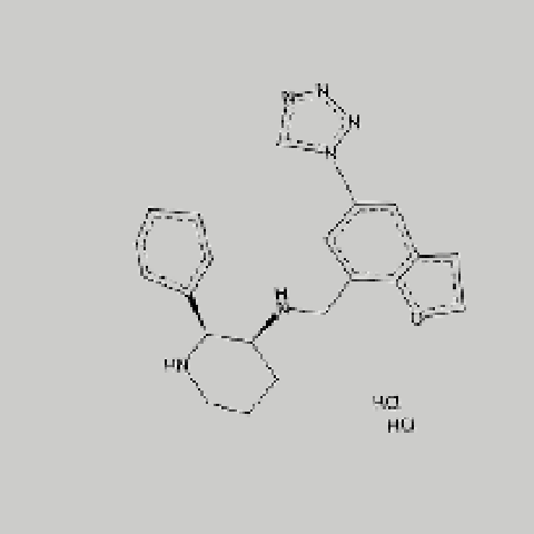 Cl.Cl.c1ccc([C@@H]2NCCC[C@@H]2NCc2cc(-n3cnnn3)cc3ccoc23)cc1